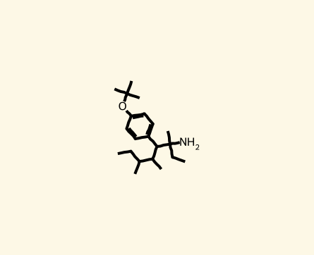 CCC(C)C(C)C(c1ccc(OC(C)(C)C)cc1)C(C)(N)CC